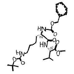 COC(=O)[C@@H](NC(=O)[C@H](CCCCNC(=O)OC(C)(C)C)NC(=O)OCc1ccccc1)C(C)C